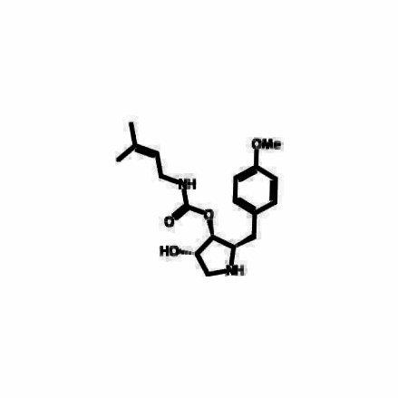 COc1ccc(C[C@H]2NC[C@H](O)[C@H]2OC(=O)NCC=C(C)C)cc1